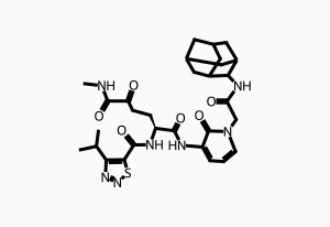 CNC(=O)C(=O)CC[C@H](NC(=O)c1snnc1C(C)C)C(=O)Nc1cccn(CC(=O)NC2C3CC4CC(C3)CC2C4)c1=O